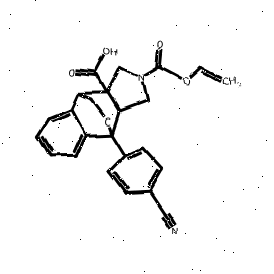 C=COC(=O)N1CC2C3(c4ccc(C#N)cc4)CCC(c4ccccc43)C2(C(=O)O)C1